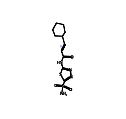 NS(=O)(=O)c1nnc(NC(=O)/C=C/C2CCCCC2)s1